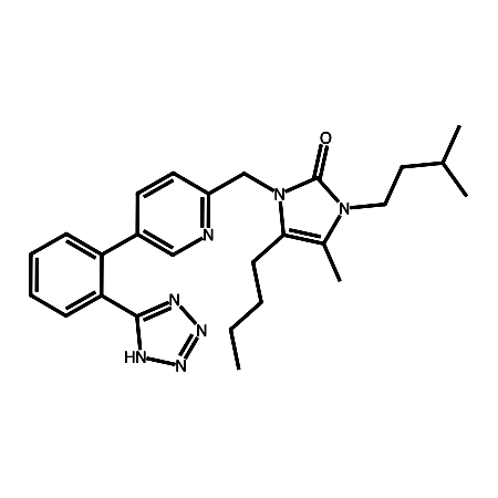 CCCCc1c(C)n(CCC(C)C)c(=O)n1Cc1ccc(-c2ccccc2-c2nnn[nH]2)cn1